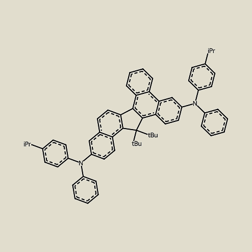 CC(C)c1ccc(N(c2ccccc2)c2ccc3c4c(ccc3c2)-c2c(c3ccc(N(c5ccccc5)c5ccc(C(C)C)cc5)cc3c3ccccc23)C4(C(C)(C)C)C(C)(C)C)cc1